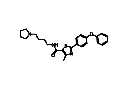 Cc1nc(-c2ccc(Oc3ccccc3)cc2)sc1C(=O)NCCCCN1CCCC1